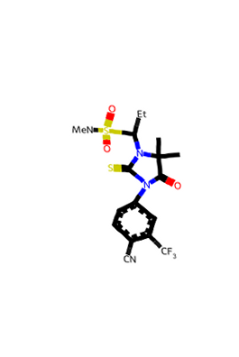 CCC(N1C(=S)N(c2ccc(C#N)c(C(F)(F)F)c2)C(=O)C1(C)C)S(=O)(=O)NC